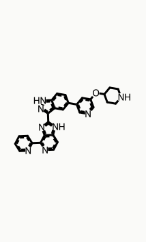 c1ccc(-c2nccc3[nH]c(-c4n[nH]c5ccc(-c6cncc(OC7CCNCC7)c6)cc45)nc23)nc1